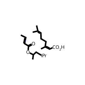 C/C=C/C(=O)OC(C)CC(C)C.CC(C)=CCCC(C)=CC(=O)O